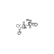 CC(C)(C)OC(=O)N[C@@H](Cc1ccccc1)C(=O)NCCC(=O)N[C@@H](CC1CCCCC1)[C@@H](O)CCSc1ccccn1